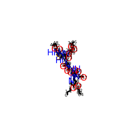 CCCCOc1cnc(-c2nn(S(=O)(=O)NC(=O)N3C[C@H](NC(=O)/C(=N\OC(C)(C)C(=O)OC(C)(C)C)c4csc(NC(=O)OC(C)(C)C)n4)C3=O)c(=O)n2CC=O)cc1OCCCC